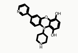 Oc1ccc(O)c2c1Oc1cc(-c3cccnc3)ccc1N2C1CCNCC1